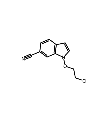 N#Cc1ccc2ccn(OCCCl)c2c1